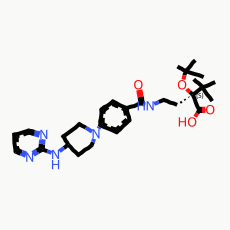 CC(C)(C)O[C@](CCNC(=O)c1ccc(N2CCC(Nc3ncccn3)CC2)cc1)(C(=O)O)C(C)(C)C